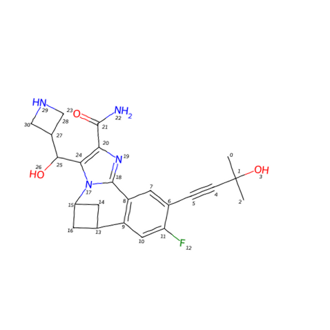 CC(C)(O)C#Cc1cc2c(cc1F)C1CC(C1)n1c-2nc(C(N)=O)c1C(O)C1CNC1